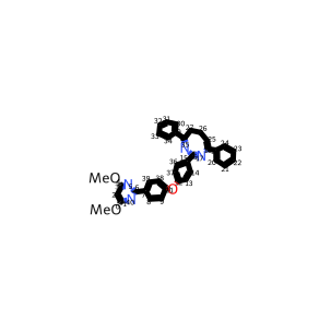 COc1cc(OC)nc(-c2ccc(Oc3ccc(C4=N/C(c5ccccc5)=C\CC/C(c5ccccc5)=N\4)cc3)cc2)n1